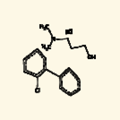 CN(C)CCCO.Cl.Clc1ccccc1-c1ccccc1